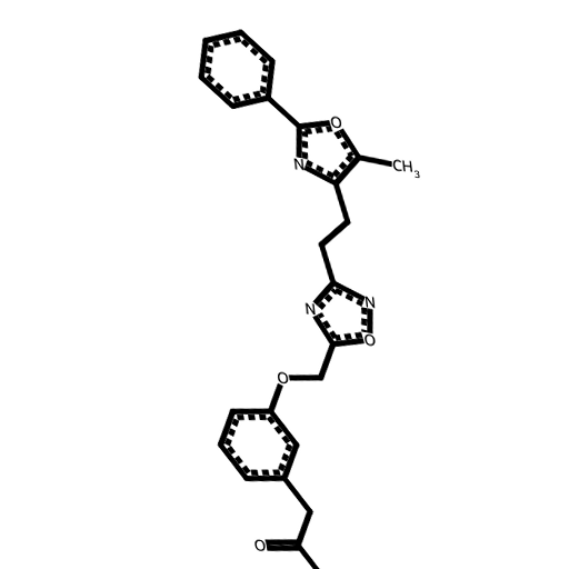 COC(=O)Cc1cccc(OCc2nc(CCc3nc(-c4ccccc4)oc3C)no2)c1